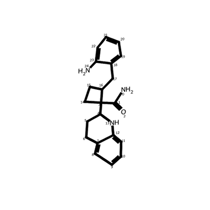 NC(=O)C1(C2CCc3ccccc3N2)CCC1Cc1ccccc1N